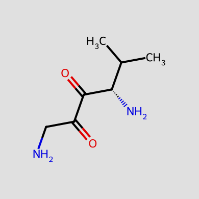 CC(C)[C@H](N)C(=O)C(=O)CN